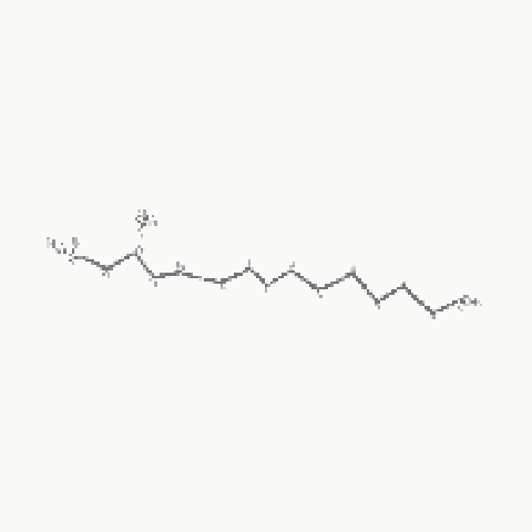 CCCCCCCCCCCCCCCCCCCCC[C@@H](O)CC(=O)O